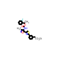 CCOC(=O)Cc1cccc(-c2nc(-c3onc(C)c3NC(=O)O[C@H](C)c3ccccc3F)cs2)c1